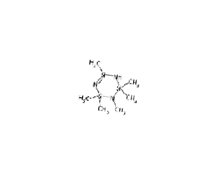 CN1[Si](C)(C)N=[Si](C)N[Si]1(C)C